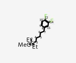 CC[Si](CC)(CCCCCc1ccc(F)c(F)c1)OC